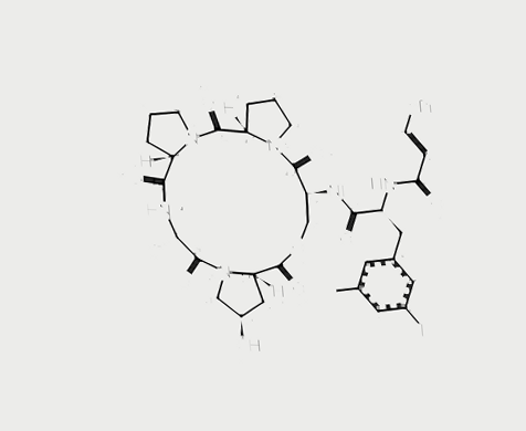 CCC/C=C/C(=O)N[C@@H](Cc1cc(F)cc(F)c1)C(=O)N[C@H]1COC(=O)[C@@H]2C[C@@H](C)CN2C(=O)[C@H](C)NC(=O)[C@@H]2CCCN2C(=O)[C@@H]2CCCN2C1=O